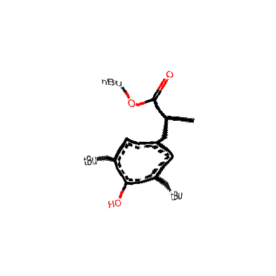 CCCCOC(=O)C(C)c1cc(C(C)(C)C)c(O)c(C(C)(C)C)c1